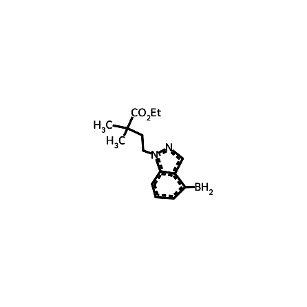 Bc1cccc2c1cnn2CCC(C)(C)C(=O)OCC